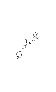 COP(=O)(OC)SCOC(=O)C(C)(C)CCN1CCN(C)CC1